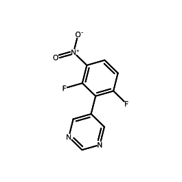 O=[N+]([O-])c1ccc(F)c(-c2cncnc2)c1F